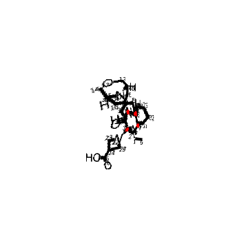 CC[C@@H]1C[C@@H]2C[C@H](C1)C[C@@H](N1[C@@H]3COC[C@H]1C[C@@H](n1c(=O)c(N4CC(C(=O)O)C4)nc4ccccc41)C3)C2